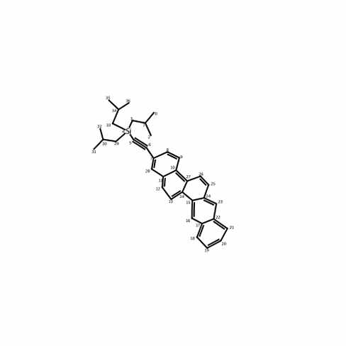 CC(C)C[Si](C#Cc1ccc2c(ccc3c4cc5ccccc5cc4ccc23)c1)(CC(C)C)CC(C)C